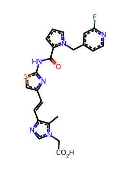 Cc1c(C=Cc2csc(NC(=O)c3cccn3Cc3ccnc(F)c3)n2)ncn1CC(=O)O